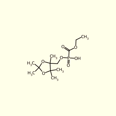 CCOC(=O)P(=O)(O)OCC1(C)OC(C)(C)OC1(C)C